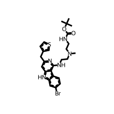 CN(CCNC(=O)OC(C)(C)C)CCNc1nc(Cc2ccsc2)cc2[nH]c3cc(Br)ccc3c12